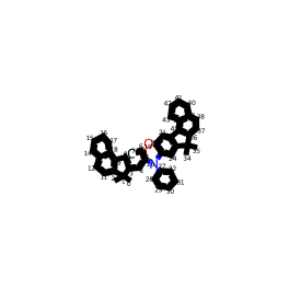 CC1(C)c2cc3c(cc2-c2c1ccc1ccccc21)Oc1cc2c(cc1N3c1ccccc1)C(C)(C)c1ccc3ccccc3c1-2